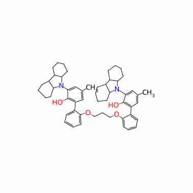 Cc1cc(-c2ccccc2OCCCOc2ccccc2-c2cc(C)cc(N3C4CCCCC4C4CCCCC43)c2O)c(O)c(N2C3CCCCC3C3CCCCC32)c1